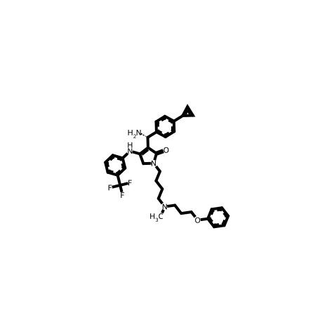 CN(CCCCN1CC(Nc2cccc(C(F)(F)F)c2)=C([C@H](N)c2ccc(C3=C=C3)cc2)C1=O)CCCOc1ccccc1